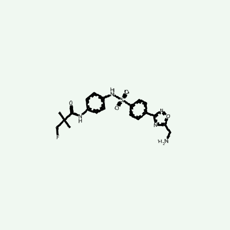 CC(C)(CF)C(=O)Nc1ccc(NS(=O)(=O)c2ccc(-c3noc(CN)n3)cc2)cc1